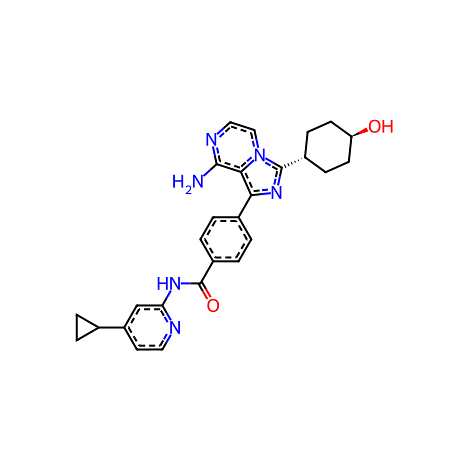 Nc1nccn2c1c(-c1ccc(C(=O)Nc3cc(C4CC4)ccn3)cc1)nc2[C@H]1CC[C@H](O)CC1